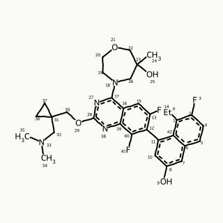 CCc1c(F)ccc2cc(O)cc(-c3c(F)cc4c(N5CCOCC(C)(O)C5)nc(OCC5(CN(C)C)CC5)nc4c3F)c12